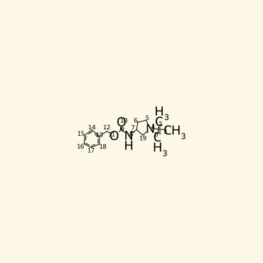 CC(C)(C)N1CC[C@H](NC(=O)OCc2ccccc2)C1